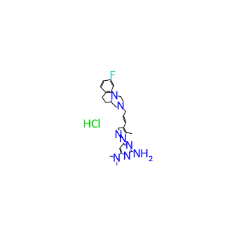 Cc1c(/C=C/CN2CCN3c4cc(F)ccc4CCC3C2)cnn1-c1cc(N(C)C)nc(N)n1.Cl